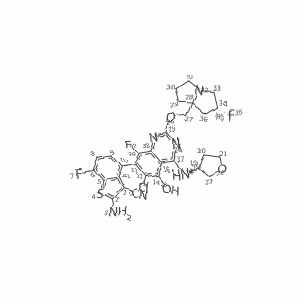 N#Cc1c(N)sc2c(F)ccc(-c3c(Cl)c(O)c4c(N[C@H]5CCOC5)nc(OCC56CCCN5C[C@H](F)C6)nc4c3F)c12